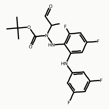 CC(C=O)N(Nc1c(F)cc(F)cc1Nc1cc(F)cc(F)c1)C(=O)OC(C)(C)C